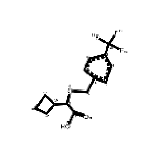 O=C(O)C(OCc1ccc(C(F)(F)F)cc1)C1CCC1